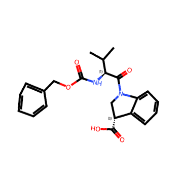 CC(C)[C@H](NC(=O)OCc1ccccc1)C(=O)N1C[C@@H](C(=O)O)c2ccccc21